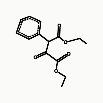 CCOC(=O)C(=O)C(C(=O)OCC)c1ccccc1